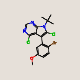 COc1ccc(Br)c(-c2c(Cl)n(C(C)(C)C)c3ncnc(Cl)c23)c1